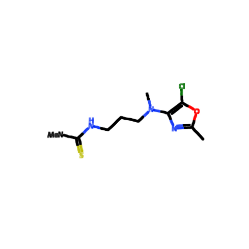 CNC(=S)NCCCN(C)c1nc(C)oc1Cl